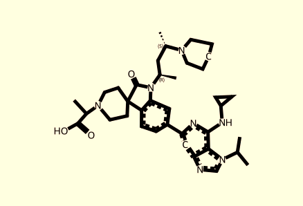 CC(C(=O)O)N1CCC2(CC1)C(=O)N([C@H](C)C[C@H](C)N1CCCCC1)c1cc(-c3cc4ncn(C(C)C)c4c(NC4CC4)n3)ccc12